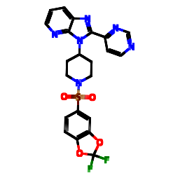 O=S(=O)(c1ccc2c(c1)OC(F)(F)O2)N1CCC(n2c(-c3ccncn3)nc3cccnc32)CC1